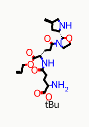 C=CCOC(=O)[C@H](CCC(=O)N1CCOC1[C@@H]1CC(=C)CN1)NC(=O)CC[C@H](N)C(=O)OC(C)(C)C